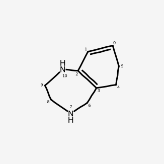 C1=CC2=C(CC1)CNCCN2